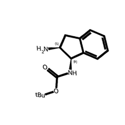 CC(C)(C)OC(=O)N[C@@H]1c2ccccc2C[C@@H]1N